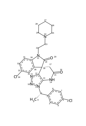 C[C@@H](c1ccc(Cl)cc1)n1nnc2c1NC(=O)C[C@]21C(=O)N(CCN2CCCCC2)c2ccc(Cl)cc21